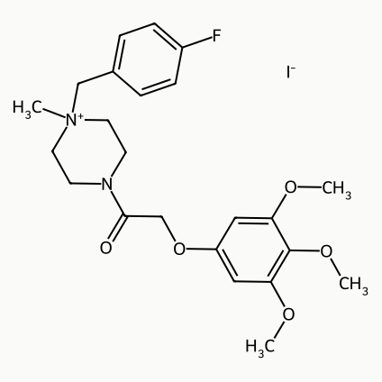 COc1cc(OCC(=O)N2CC[N+](C)(Cc3ccc(F)cc3)CC2)cc(OC)c1OC.[I-]